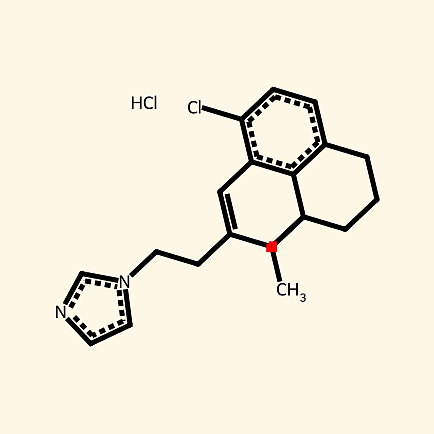 CCC12CCCc3ccc(Cl)c(c31)C=C(CCn1ccnc1)C2.Cl